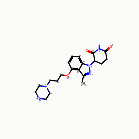 Cc1nn(C2CCC(=O)NC2=O)c2cccc(OCCCN3CCNCC3)c12